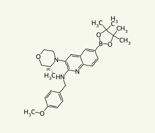 COc1ccc(CNc2nc3ccc(B4OC(C)(C)C(C)(C)O4)cc3cc2N2CCOC[C@H]2C)cc1